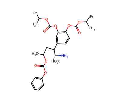 CC(CC(c1ccc(OC(=O)OC(C)C(C)C)c(OC(=O)OC(C)C(C)C)c1)[C@H](N)C(=O)O)OC(=O)Oc1ccccc1